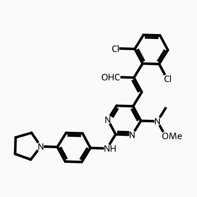 CON(C)c1nc(Nc2ccc(N3CCCC3)cc2)ncc1/C=C(\C=O)c1c(Cl)cccc1Cl